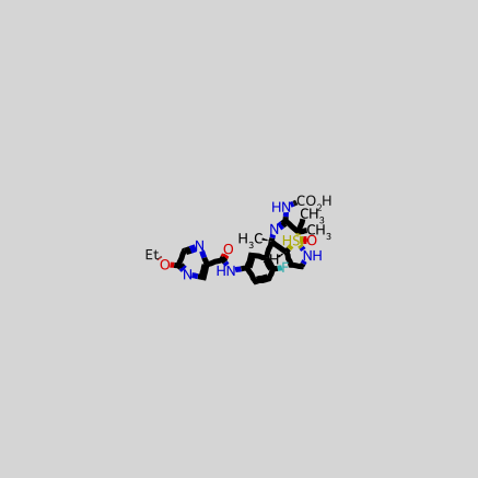 CCOc1cnc(C(=O)Nc2ccc(F)c([C@@]3(C)N=C(NC(=O)O)C(C)(C)[SH]4(=O)NCC[C@@H]34)c2)cn1